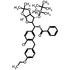 CCOc1ccc(Cc2cc([C@H](SC(=O)c3ccccc3)C3O[C@H]4OC(C)(C)O[C@H]4[C@@H]3O[Si](C)(C)C(C)(C)C)ccc2Cl)cc1